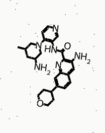 CC1CC(N)CN(c2ccncc2NC(=O)c2nc3cc(C4CCOCC4)ccc3cc2N)C1